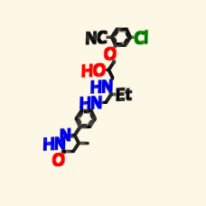 CCC(CNc1ccc(C2=NNC(=O)CC2C)cc1)NCC(O)COc1cc(Cl)ccc1C#N